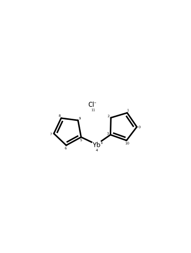 C1=CC[C]([Yb+][C]2=CC=CC2)=C1.[Cl-]